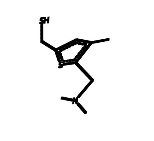 Cc1cc(CS)sc1CN(C)C